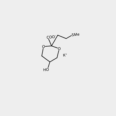 CSCCC1(C(=O)[O-])OCC(O)CO1.[K+]